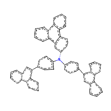 c1ccc2c(c1)cc(-c1ccc(N(c3ccc(-c4cc5ccccc5c5ccccc45)cc3)c3ccc4c5ccccc5c5ccccc5c4c3)cc1)c1ccccc12